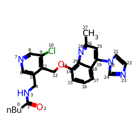 CCCCC(=O)NCc1cncc(Cl)c1COc1cccc2c(-n3ccnc3)cc(C)nc12